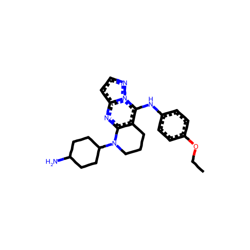 CCOc1ccc(Nc2c3c(nc4ccnn24)N(C2CCC(N)CC2)CCC3)cc1